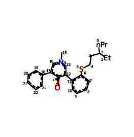 CCCC(CC)CCSc1ccccc1-c1cn(C)cc(-c2ccccc2)c1=O